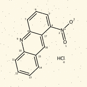 Cl.O=[N+]([O-])c1cccc2nc3ccccc3cc12